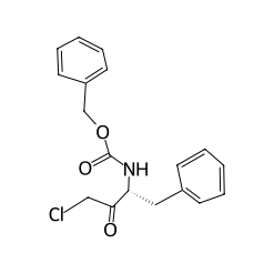 O=C(N[C@H](Cc1ccccc1)C(=O)CCl)OCc1ccccc1